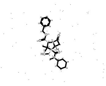 CN(C(=O)[S@]1(CO)[C@@H]2CC(=O)N2[C@@H](C(=O)OCc2ccccc2)C1(C)C)C1CCCCC1